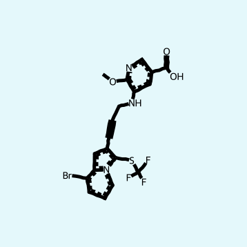 COc1ncc(C(=O)O)cc1NCC#Cc1cc2c(Br)cccn2c1SC(F)(F)F